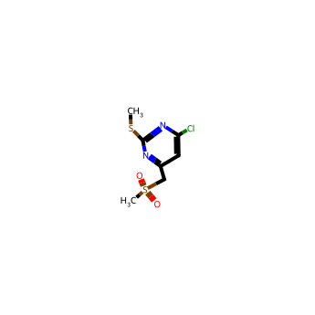 CSc1nc(Cl)cc(CS(C)(=O)=O)n1